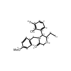 COc1ccc(CN2C(=O)COC(CI)C2c2cccc(F)c2Cl)cc1